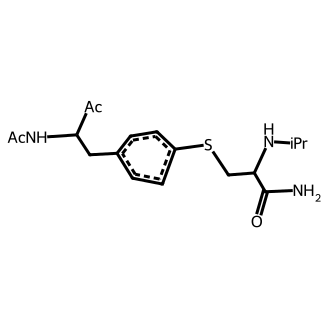 CC(=O)NC(Cc1ccc(SCC(NC(C)C)C(N)=O)cc1)C(C)=O